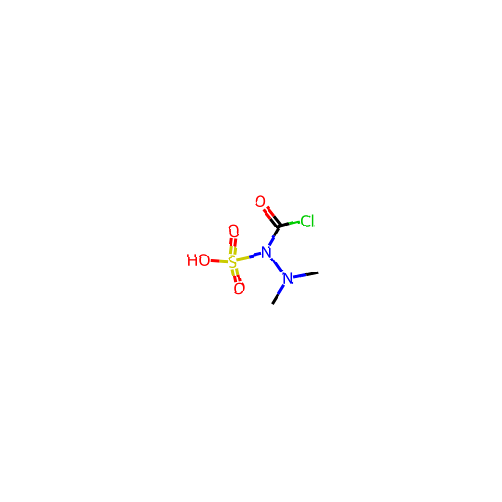 CN(C)N(C(=O)Cl)S(=O)(=O)O